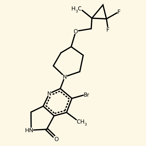 Cc1c(Br)c(N2CCC(OCC3(C)CC3(F)F)CC2)nc2c1C(=O)NC2